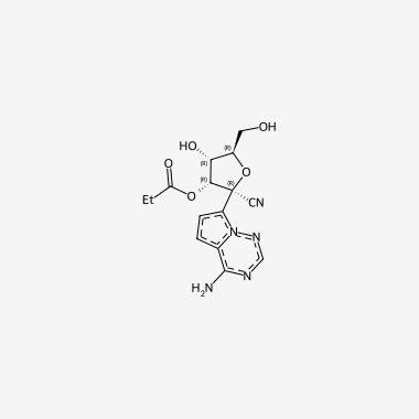 CCC(=O)O[C@@H]1[C@H](O)[C@@H](CO)O[C@@]1(C#N)c1ccc2c(N)ncnn12